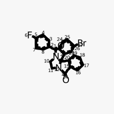 O=C(c1ccc(F)cc1)N1CCN2C(=O)c3ccccc3C12c1cccc(Br)c1